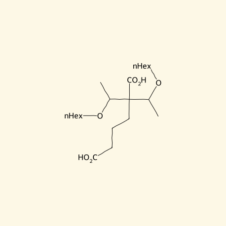 CCCCCCOC(C)C(CCCC(=O)O)(C(=O)O)C(C)OCCCCCC